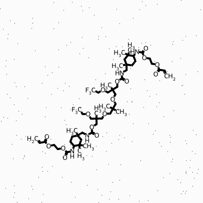 C=CC(=O)OCCOC(=O)NC1CCC(C)(CNC(=O)OCC(C)(COCC(F)(F)F)COCC(C)(C)COCC(C)(COCC(F)(F)F)COC(=O)NCC2(C)CCC(NC(=O)OCCOC(=O)C=C)C(C)(C)C2)CC1(C)C